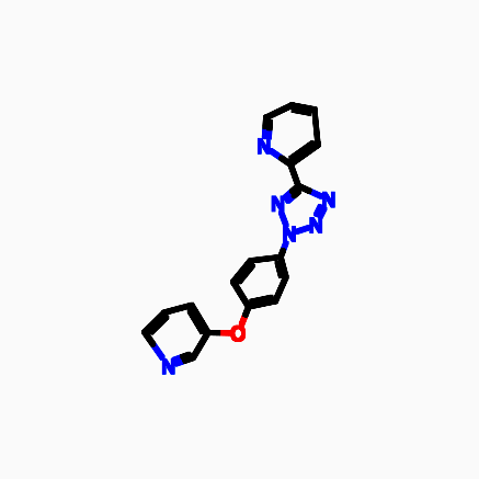 c1ccc(-c2nnn(-c3ccc(Oc4cccnc4)cc3)n2)nc1